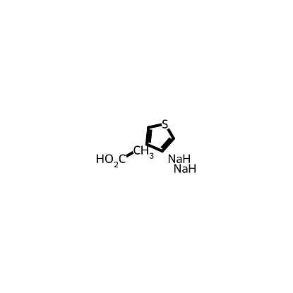 CC(=O)O.[NaH].[NaH].c1ccsc1